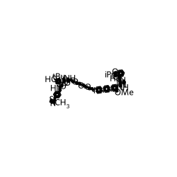 COc1cc(N2CCC(N3CCN(CCCOCCOCCOCCC(=O)N[C@H](C(=O)N4C[C@H](O)C[C@H]4C(=O)NCc4ccc(-c5scnc5C)cc4)C(C)(C)C)CC3)CC2)ccc1Nc1ncnc(Nc2ccccc2S(=O)(=O)C(C)C)n1